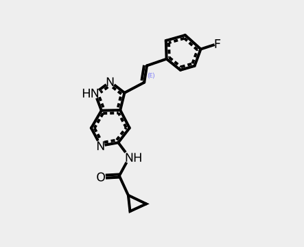 O=C(Nc1cc2c(/C=C/c3ccc(F)cc3)n[nH]c2cn1)C1CC1